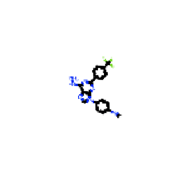 [C-]#[N+]c1ccc(-n2cnc3c(NN)nc(-c4ccc(C(F)(F)F)cc4)nc32)cc1